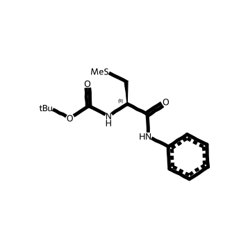 CSC[C@H](NC(=O)OC(C)(C)C)C(=O)Nc1ccccc1